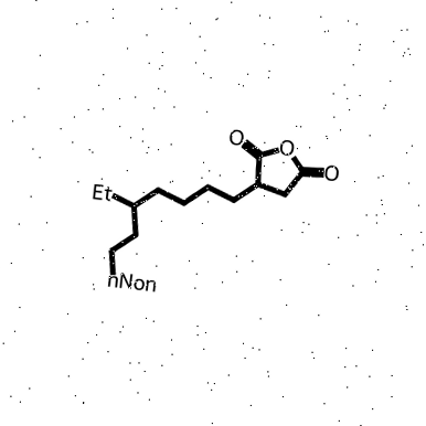 CCCCCCCCCCCC(CC)CCCCC1CC(=O)OC1=O